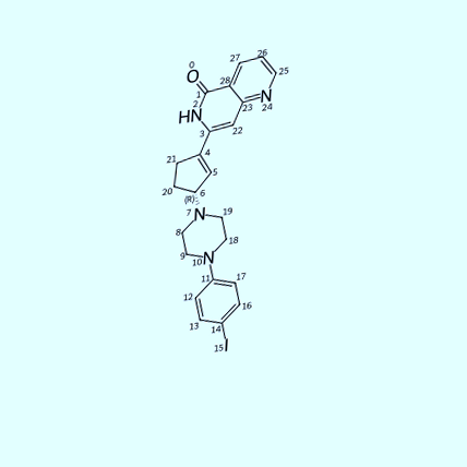 O=c1[nH]c(C2=C[C@H](N3CCN(c4ccc(I)cc4)CC3)CC2)cc2ncccc12